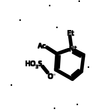 CC[n+]1ccccc1C(C)=O.O=S(=O)([O-])O